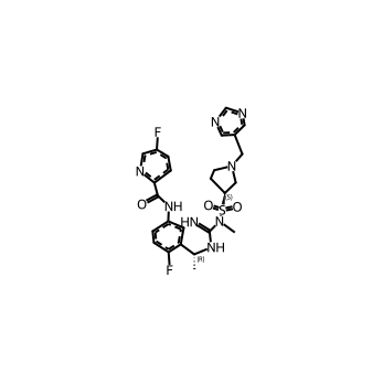 C[C@@H](NC(=N)N(C)S(=O)(=O)[C@H]1CCN(Cc2cncnc2)C1)c1cc(NC(=O)c2ccc(F)cn2)ccc1F